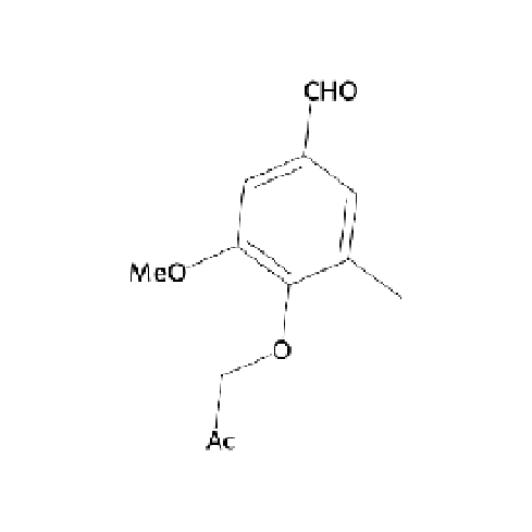 COc1cc(C=O)cc(C)c1OCC(C)=O